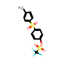 Cc1ccc(S(=O)(=O)c2ccc(OS(=O)(=O)C(F)(F)F)cc2)cc1